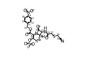 CS(=O)(=O)OC1=C(C(=O)OCc2ccc([N+](=O)[O-])cc2)N2C(=O)C(NC(=O)CSCC#N)[C@H]2SC1